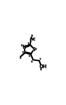 CC(=O)c1nc(C)c(CCO)s1